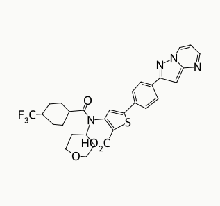 O=C(O)c1sc(-c2ccc(-c3cc4ncccn4n3)cc2)cc1N(C(=O)C1CCC(C(F)(F)F)CC1)C1CCOCC1